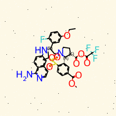 CCOc1ccc(F)c([C@@H](Nc2ccc3c(N)nccc3c2)C(=O)N2CC[C@H](C(=O)OC(=O)C(F)(F)F)[C@@H]2c2cc(C(=O)OC)ccc2S(=O)(=O)C(C)C)c1